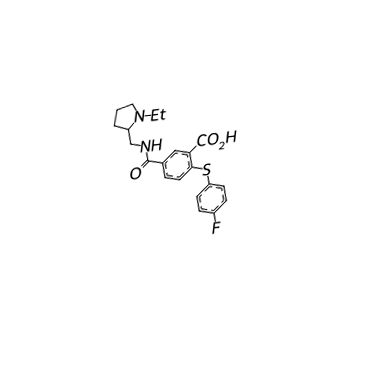 CCN1CCCC1CNC(=O)c1ccc(Sc2ccc(F)cc2)c(C(=O)O)c1